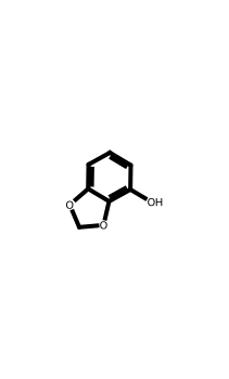 Oc1c[c]cc2c1OCO2